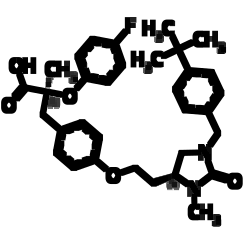 CN1C(=O)N(Cc2ccc(C(C)(C)C)cc2)C[C@@H]1CCOc1ccc(C[C@](C)(Oc2ccc(F)cc2)C(=O)O)cc1